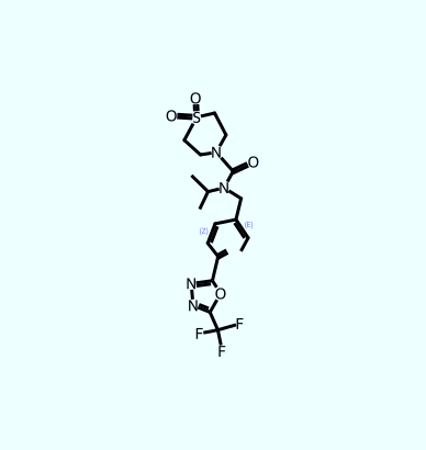 C=C(/C=C\C(=C/C)CN(C(=O)N1CCS(=O)(=O)CC1)C(C)C)c1nnc(C(F)(F)F)o1